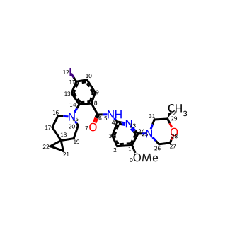 COc1ccc(NC(=O)c2ccc(I)cc2N2CCC3(CC2)CC3)nc1N1CCO[C@H](C)C1